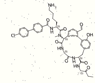 CCC(=O)[C@H](C)NC(=O)[C@@H]1Cc2ccc(O)c(c2)-c2cc(ccc2C=O)[C@H](N(C)C(=O)[C@H](CCCCN)NC(=O)c2ccc(-c3ccc(Cl)cc3)cc2)C(=O)N[C@@H](C)C(=O)N1